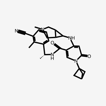 Cc1c(C#N)cccc1[C@@H](C)NC(=O)c1cn(C23CC(C2)C3)c(=O)cc1NC1C2CN(C)CC21